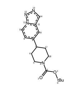 CC(C)(C)OC(=O)N1CCC(c2ccn3nncc3c2)CC1